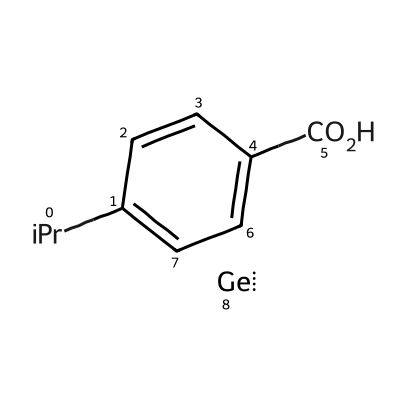 CC(C)c1ccc(C(=O)O)cc1.[Ge]